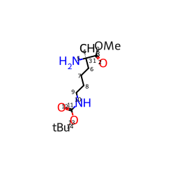 COC(=O)[C@](C)(N)CCCCNC(=O)OC(C)(C)C